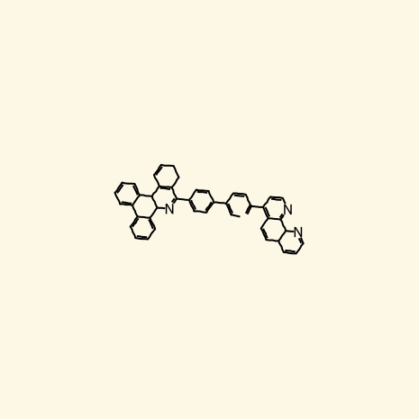 C=C(/C=C\C(=C/C)c1ccc(C2=NC3c4ccccc4-c4ccccc4C3C3=C2CCC=C3)cc1)c1ccnc2c1C=CC1C=CC=NC21